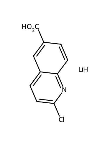 O=C(O)c1ccc2nc(Cl)ccc2c1.[LiH]